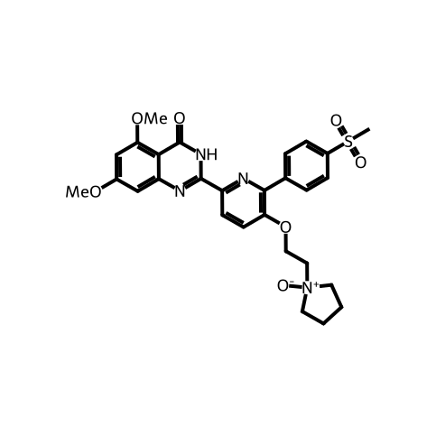 COc1cc(OC)c2c(=O)[nH]c(-c3ccc(OCC[N+]4([O-])CCCC4)c(-c4ccc(S(C)(=O)=O)cc4)n3)nc2c1